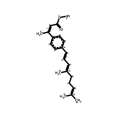 CCCOC(=O)/C=C(/C)c1ccc(/C=C/C=C(\C)CCC=C(C)C)cc1